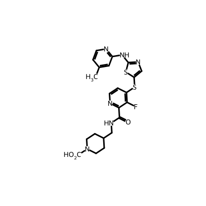 Cc1ccnc(Nc2ncc(Sc3ccnc(C(=O)NCC4CCN(C(=O)O)CC4)c3F)s2)c1